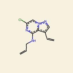 C=CCNc1nc(Cl)cn2ncc(C=C)c12